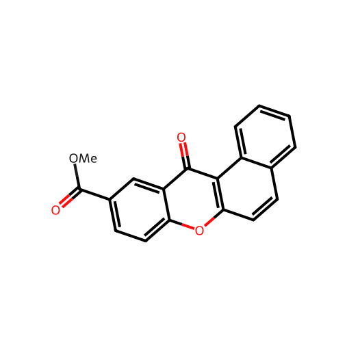 COC(=O)c1ccc2oc3ccc4ccccc4c3c(=O)c2c1